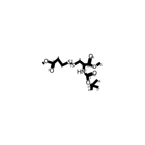 COC(=O)CCSSCC(NC(=O)OC(C)(C)C)C(=O)OC